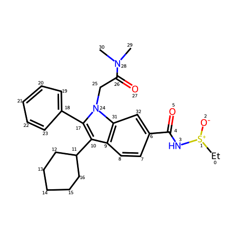 CC[S+]([O-])NC(=O)c1ccc2c(C3CCCCC3)c(-c3ccccc3)n(CC(=O)N(C)C)c2c1